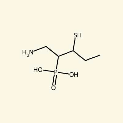 CCC(S)C(CN)P(=O)(O)O